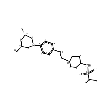 CC(C)S(=O)(=O)NC1CCC(CNc2ccc(N3C[C@@H](C)O[C@H](C)C3)cc2)CC1